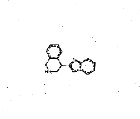 c1ccc2c(c1)CNCC2c1cc2ccccc2s1